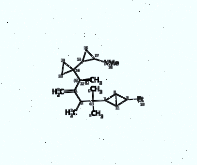 C=C(C(C)C(C)(C)C1C2C(CC)C21)[C@H](C)C1(C2CC2NC)CC1